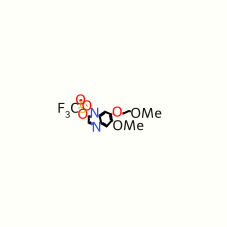 COCCOc1cc2nc(OS(=O)(=O)C(F)(F)F)cnc2cc1OC